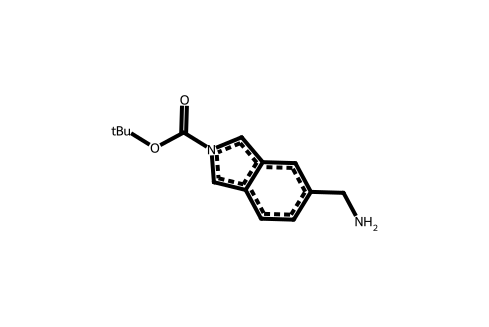 CC(C)(C)OC(=O)n1cc2ccc(CN)cc2c1